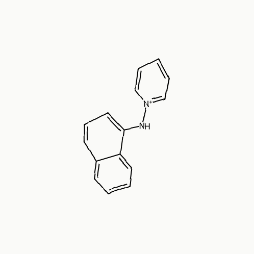 c1cc[n+](Nc2cccc3ccccc23)cc1